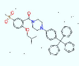 CC(C)COc1ccc(S(C)(=O)=O)cc1C(=O)N1CCN(c2ccc(C(c3ccccc3)(c3ccccc3)c3ccccc3)cc2)CC1